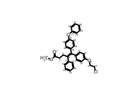 COC(=O)CC/C(=C(/c1ccc(OCCCl)cc1)c1ccc(Oc2ccccc2)cc1)c1ccccc1